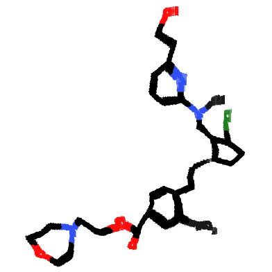 CC(C)(C)N(C[C@H]1C(Cl)CC[C@@H]1CCc1ccc(C(=O)OCCN2CCOCC2)cc1[N+](=O)[O-])c1cccc(CCO)n1